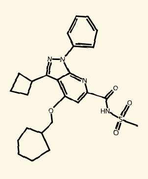 CS(=O)(=O)NC(=O)c1cc(OCC2CCCCC2)c2c(C3CCC3)nn(-c3ccccc3)c2n1